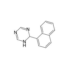 C1=NC=NC(c2cccc3ccccc23)N1